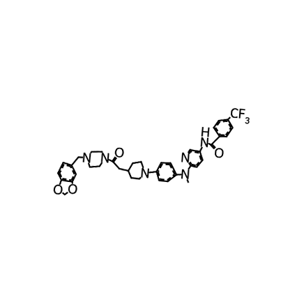 CN(c1ccc(N2CCC(CC(=O)N3CCN(Cc4ccc5c(c4)OCO5)CC3)CC2)cc1)c1ccc(NC(=O)c2ccc(C(F)(F)F)cc2)cn1